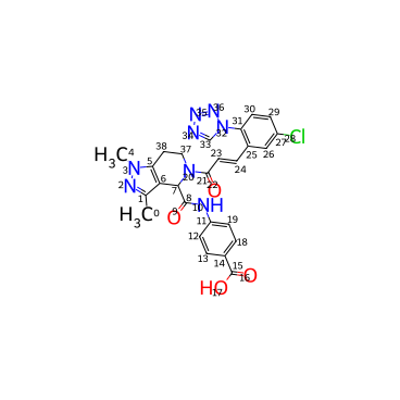 Cc1nn(C)c2c1C(C(=O)Nc1ccc(C(=O)O)cc1)N(C(=O)C=Cc1cc(Cl)ccc1-n1cnnn1)CC2